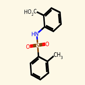 Cc1ccccc1S(=O)(=O)Nc1ccccc1C(=O)O